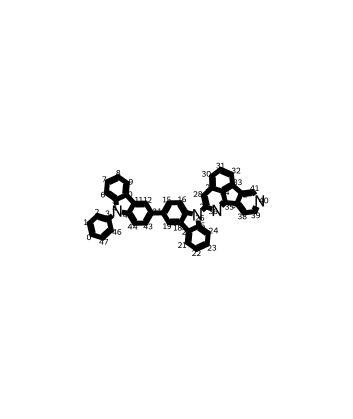 c1ccc(-n2c3ccccc3c3cc(-c4ccc5c(c4)c4ccccc4n5-c4cc5cccc6c5c(n4)-c4ccncc4-6)ccc32)cc1